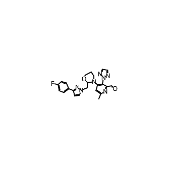 Cc1cc(N2CCCOC2Cn2ccc(-c3ccc(F)cc3)n2)c(-n2nccn2)c(C=O)n1